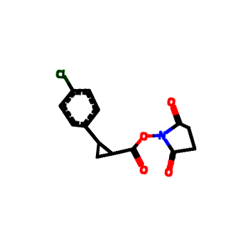 O=C(ON1C(=O)CCC1=O)C1CC1c1ccc(Cl)cc1